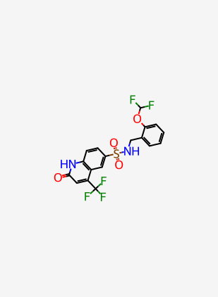 O=c1cc(C(F)(F)F)c2cc(S(=O)(=O)NCc3ccccc3OC(F)F)ccc2[nH]1